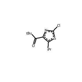 CC(C)c1sc(Cl)nc1C(=O)C(C)(C)C